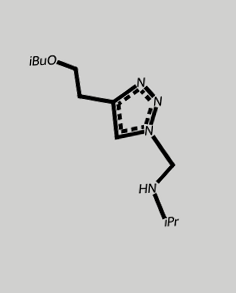 CC(C)COCCc1cn(CNC(C)C)nn1